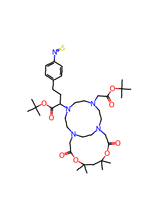 CC(C)(C)OC(=O)CN1CCN2CCN(CCN(C(CCc3ccc(N=S)cc3)C(=O)OC(C)(C)C)CC1)CC(=O)OC(C)(C)CC(C)(C)OC(=O)C2